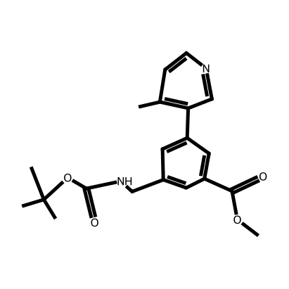 COC(=O)c1cc(CNC(=O)OC(C)(C)C)cc(-c2cnccc2C)c1